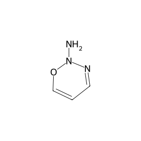 NN1N=CC=CO1